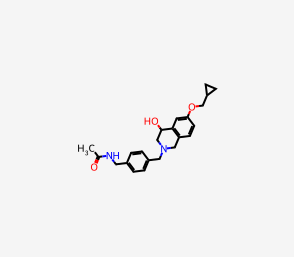 CC(=O)NCc1ccc(CN2Cc3ccc(OCC4CC4)cc3C(O)C2)cc1